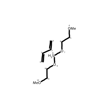 C=CC=C.COCCO[SiH2]OCCOC